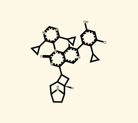 O=c1nc(C2C[C@@H]3C4CCC(CC23)N4)c2cnc(-c3cc(O)cc(Cl)c3C3CC3)c(F)c2n1-c1c(C2CC2)ncnc1C1CC1